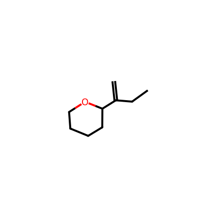 C=C(CC)C1CCCCO1